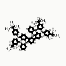 CC(C)(C)c1ccc(N2c3ccc(C(C)(C)C)cc3B3c4ccccc4-n4c5ccc6c7ccc8c9c7n(c6c5c5ccc2c3c54)-c2ccccc2B9c2cc(C(C)(C)C)ccc2N8c2ccc(C(C)(C)C)cc2)cc1